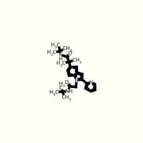 CC(C)(C)NC(=O)Cn1c(-c2ccccn2)cc2cc(C(C)(C)C(=O)NC(C)(C)C)ccc21